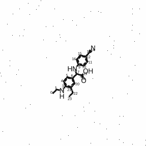 CCNc1ccc(C(Nc2ccc(C#N)cc2)C(=O)O)cc1CC